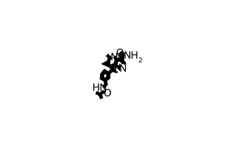 CC(C)C(=O)NCc1cccc(-c2cc3c(NC(C)C4CC4)c(C(N)=O)cnn3c2)c1